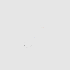 O=[SH](=O)CON=C(c1ccccc1)C(F)(F)F